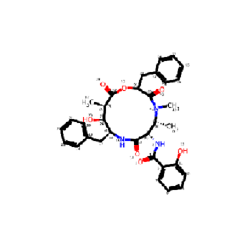 C[C@@H]1[C@H](NC(=O)c2ccccc2O)C(=O)N[C@@H](Cc2ccccc2)[C@@H](O)[C@@H](C)C(=O)OC(Cc2ccccc2)C(=O)N1C